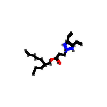 C=Cc1nn(CCC(=O)OCC(CCC)CCCCC)nc1C=C